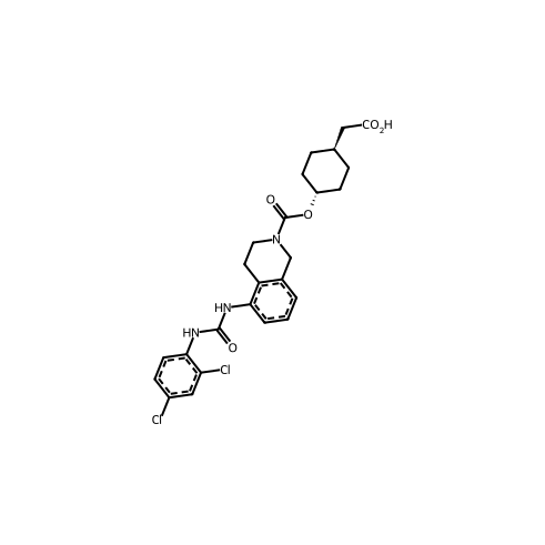 O=C(O)C[C@H]1CC[C@H](OC(=O)N2CCc3c(cccc3NC(=O)Nc3ccc(Cl)cc3Cl)C2)CC1